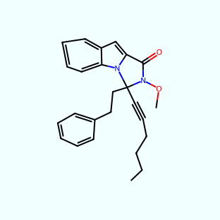 CCCCC#CC1(CCc2ccccc2)N(OC)C(=O)c2cc3ccccc3n21